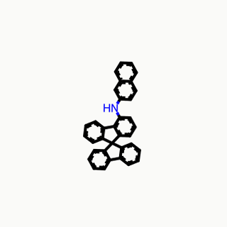 c1ccc2c(c1)-c1ccccc1C21c2ccccc2-c2c(Nc3ccc4ccccc4c3)cccc21